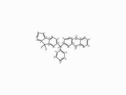 CC1(C)c2ccccc2-c2ccc(N(c3ccncc3)c3ccc4c(c3)Oc3ccccc3O4)cc21